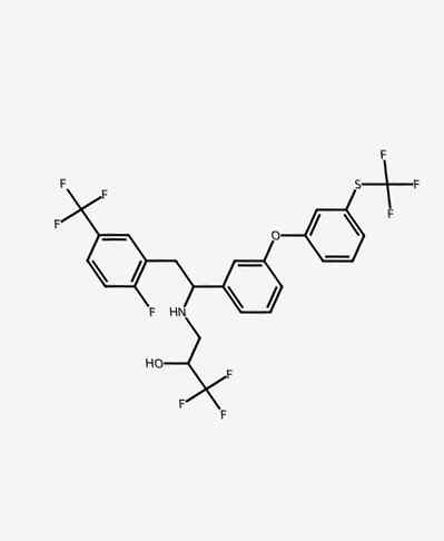 OC(CNC(Cc1cc(C(F)(F)F)ccc1F)c1cccc(Oc2cccc(SC(F)(F)F)c2)c1)C(F)(F)F